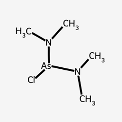 CN(C)[As](Cl)N(C)C